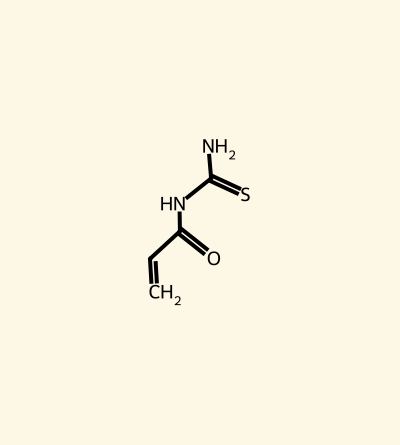 C=CC(=O)NC(N)=S